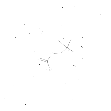 CC(C)(C)COC(=O)Br